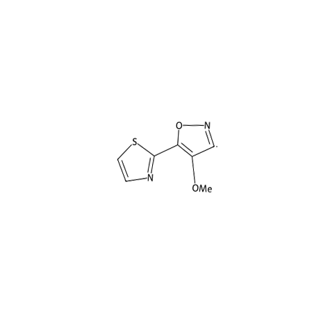 COc1[c]noc1-c1nccs1